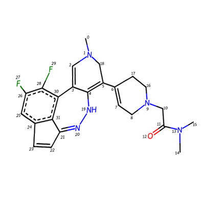 CN1C=C2C(=C(C3=CCN(CC(=O)N(C)C)CC3)C1)NN=C1C=Cc3cc(F)c(F)c2c31